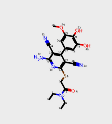 CCN(CC)C(=O)CSc1nc(N)c(C#N)c(-c2cc(O)c(O)c(OC)c2)c1C#N